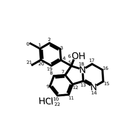 Cc1ccc(C2(O)c3ccccc3C3=NCCCN32)cc1C.Cl